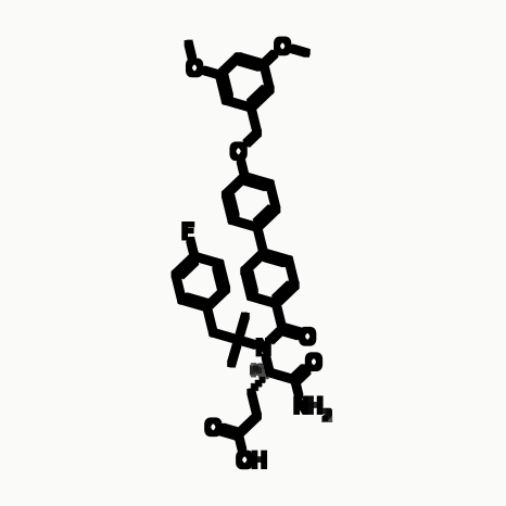 COc1cc(COc2ccc(-c3ccc(C(=O)N([C@@H](CCC(=O)O)C(N)=O)C(C)(C)Cc4ccc(F)cc4)cc3)cc2)cc(OC)c1